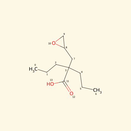 CCCC(CCC)(CC1CO1)C(=O)O